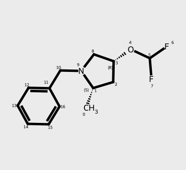 C[C@H]1C[C@@H](OC(F)F)CN1Cc1ccccc1